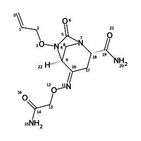 C=CCON1C(=O)N2C[C@H]1/C(=N\OCC(N)=O)C[C@H]2C(N)=O